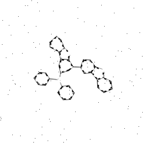 c1ccc(N(c2ccccc2)c2cc(-c3ccc4oc5ccccc5c4c3)c3sc4ccccc4c3c2)cc1